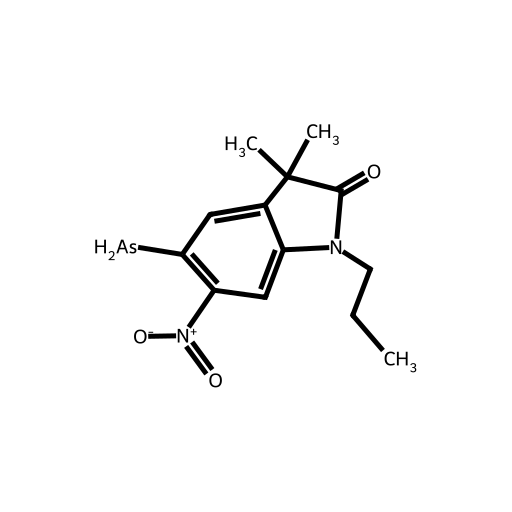 CCCN1C(=O)C(C)(C)c2cc([AsH2])c([N+](=O)[O-])cc21